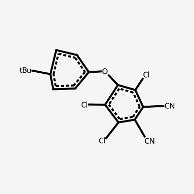 CC(C)(C)c1ccc(Oc2c(Cl)c(Cl)c(C#N)c(C#N)c2Cl)cc1